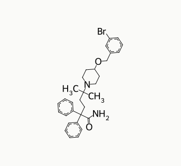 CC(C)(CCC(C(N)=O)(c1ccccc1)c1ccccc1)N1CCC(OCc2cccc(Br)c2)CC1